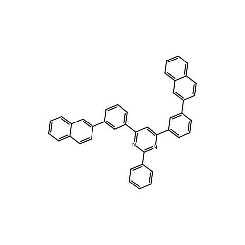 c1ccc(-c2nc(-c3cccc(-c4ccc5ccccc5c4)c3)cc(-c3cccc(-c4ccc5ccccc5c4)c3)n2)cc1